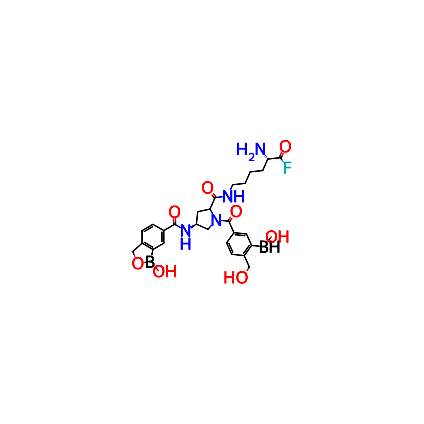 N[C@@H](CCCCNC(=O)C1C[C@H](NC(=O)c2ccc3c(c2)B(O)OC3)CN1C(=O)c1ccc(CO)c(BO)c1)C(=O)F